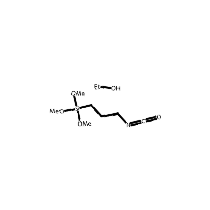 CCO.CO[Si](CCCN=C=O)(OC)OC